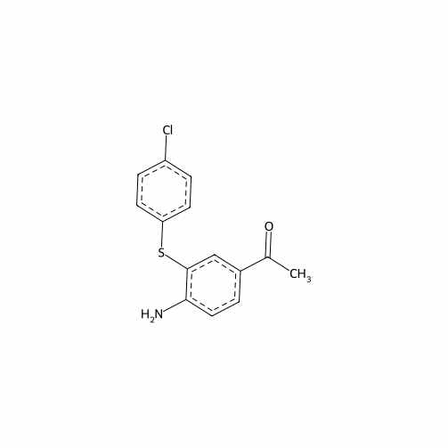 CC(=O)c1ccc(N)c(Sc2ccc(Cl)cc2)c1